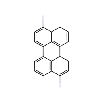 IC1=CCC2C3=C4C(=CC=C(I)C4CC=C3)c3cccc1c32